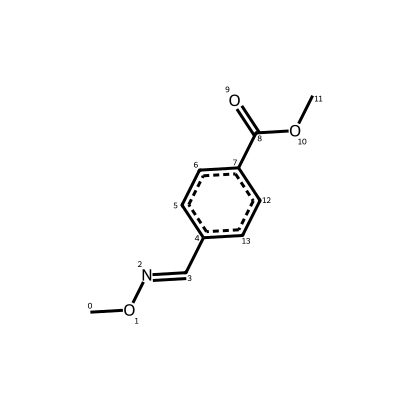 CON=Cc1ccc(C(=O)OC)cc1